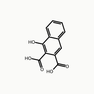 O=C(O)c1cc2ccccc2c(O)c1C(=O)O